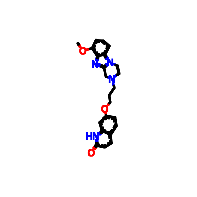 COc1cccc2c1nc1n2CCN(CCCOc2ccc3ccc(=O)[nH]c3c2)C1